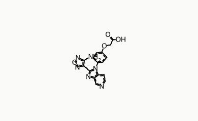 Nc1nonc1-c1nc2cnccc2n1-c1ccc(OCC(=O)O)cc1